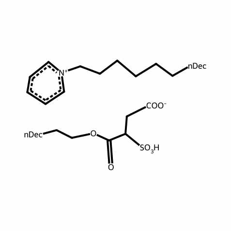 CCCCCCCCCCCCCCCC[n+]1ccccc1.CCCCCCCCCCCCOC(=O)C(CC(=O)[O-])S(=O)(=O)O